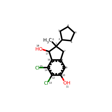 CC1(C2CCCC2)Cc2cc(O)c(Cl)c(Cl)c2C1O